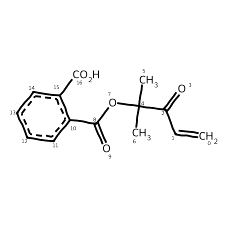 C=CC(=O)C(C)(C)OC(=O)c1ccccc1C(=O)O